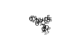 CC1(C)OB(c2cc(OC(F)(F)F)cc(C(=O)NC3CCOCC3)c2)OC1(C)C